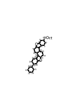 CCCCCCCCc1ccc2c(c1)oc1ccc3c(ccc4oc5cc(-c6ccccc6)ccc5c43)c12